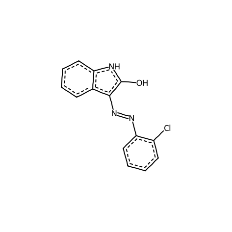 Oc1[nH]c2ccccc2c1/N=N/c1ccccc1Cl